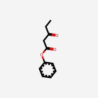 CCC(=O)CC(=O)Oc1ccccc1